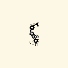 N#Cc1cc(S(=O)(=O)N[C@@H]2CCN(Cc3ccc(OC4CC4)cc3)C2)ccc1Cl